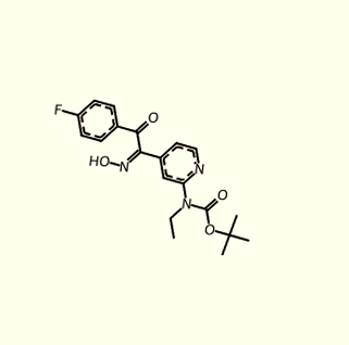 CCN(C(=O)OC(C)(C)C)c1cc(C(=NO)C(=O)c2ccc(F)cc2)ccn1